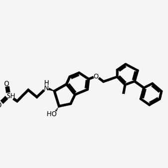 Cc1c(COc2ccc3c(c2)C[C@H](O)[C@H]3NCCC[SH](=O)=O)cccc1-c1ccccc1